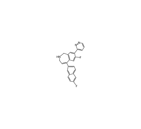 Fc1ccc2cc(C3=CCNCc4cc(-c5cccnn5)c(F)cc43)ccc2c1